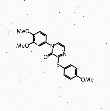 COc1ccc(Sc2nccn(-c3ccc(OC)c(OC)c3)c2=O)cc1